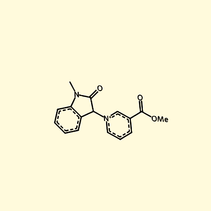 COC(=O)c1ccc[n+](C2C(=O)N(C)c3ccccc32)c1